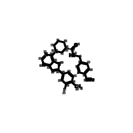 CSc1ccc(CNC(=O)[C@H]2CCCN(c3ncnc4cc(-c5ccc(C)c(F)c5)sc34)C2)cc1